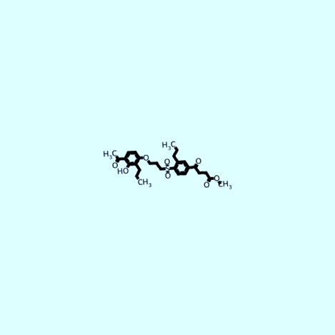 CCCc1cc(C(=O)CCC(=O)OC)ccc1S(=O)(=O)CCCOc1ccc(C(C)=O)c(O)c1CCC